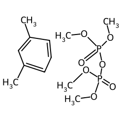 COP(=O)(OC)OP(=O)(OC)OC.Cc1cccc(C)c1